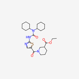 CCOC(=O)C1CCCN(C(=O)c2cnc(NC(=O)N(C3CCCCC3)C3CCCCC3)s2)C1